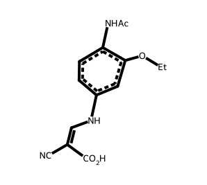 CCOc1cc(NC=C(C#N)C(=O)O)ccc1NC(C)=O